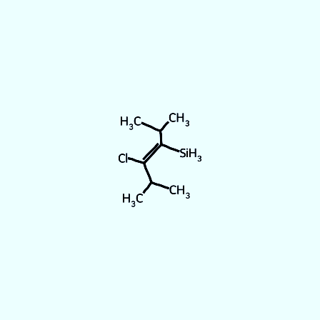 CC(C)C([SiH3])=C(Cl)C(C)C